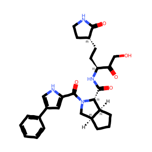 O=C1NCC[C@H]1CC[C@H](NC(=O)[C@@H]1[C@H]2CCC[C@H]2CN1C(=O)c1cc(-c2ccccc2)c[nH]1)C(=O)CO